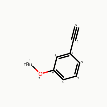 C#Cc1c[c]cc(OC(C)(C)C)c1